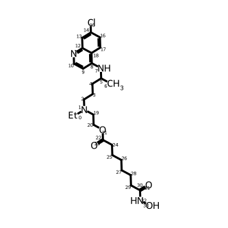 CCN(CCCC(C)Nc1ccnc2cc(Cl)ccc12)CCOC(=O)CCCCCCC(=O)NO